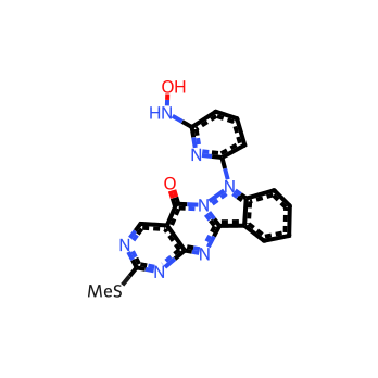 CSc1ncc2c(=O)n3c(nc2n1)c1ccccc1n3-c1cccc(NO)n1